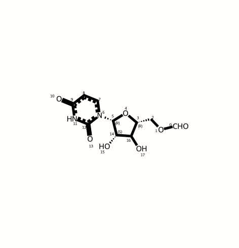 O=COC[C@H]1O[C@@H](n2ccc(=O)[nH]c2=O)[C@@H](O)C1O